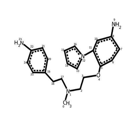 CN(CCOc1ccc(N)cc1-n1cccc1)CCc1ccc(N)cc1